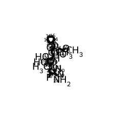 CC[C@@H](OP(=O)(NCC(=O)OC)Oc1ccccc1)[C@H]1O[C@@H](n2cc(F)c3c(N)ncnc32)[C@](C)(O)[C@@H]1O